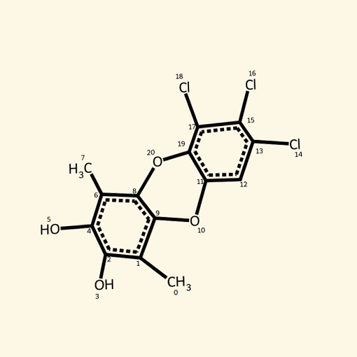 Cc1c(O)c(O)c(C)c2c1Oc1cc(Cl)c(Cl)c(Cl)c1O2